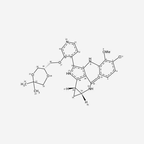 COc1c(Cl)cccc1Nc1c(-c2ccncc2OC[C@H]2COC(C)(C)CO2)[nH]c2c1C(=O)N[C@@H]1C[C@H]21